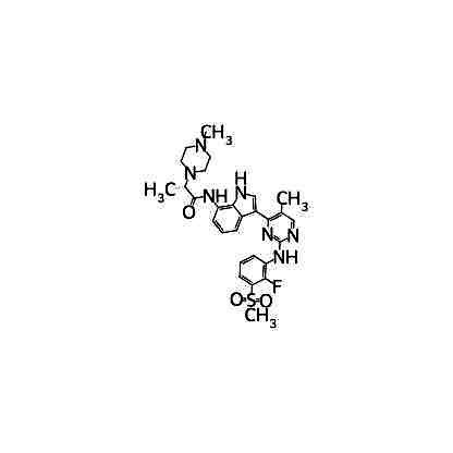 Cc1cnc(Nc2cccc(S(C)(=O)=O)c2F)nc1-c1c[nH]c2c(NC(=O)[C@H](C)N3CCN(C)CC3)cccc12